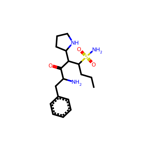 CCCC(C(C(=O)C(N)Cc1ccccc1)C1CCCN1)S(N)(=O)=O